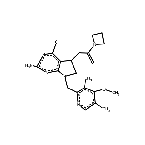 COc1c(C)cnc(CN2CC(CC(=O)N3CCC3)c3c(Cl)nc(N)nc32)c1C